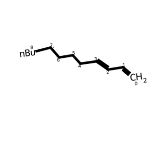 C=CC=CCCC[CH]CCCC